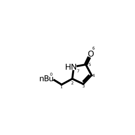 CCCCCC1C=CC(=O)N1